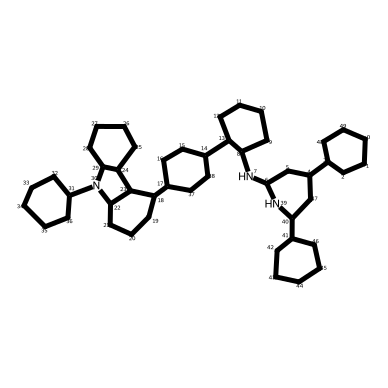 C1CCC(C2CC(NC3CCCCC3C3CCC(C4CCCC5C4C4CCCCC4N5C4CCCCC4)CC3)NC(C3CCCCC3)C2)CC1